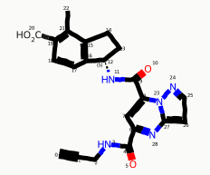 C#CCNC(=O)c1cc(C(=O)N[C@H]2CCc3c2ccc(C(=O)O)c3C)n2nccc2n1